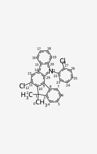 CC1(C)c2ccccc2-c2c1c(Cl)cc1c3ccccc3n(-c3ccccc3Cl)c21